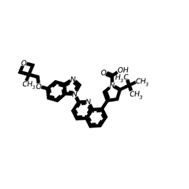 CC1(COc2ccc3c(c2)ncn3-c2ccc3cccc(C4=CN(C(=O)O)C(C(C)(C)C)C4)c3n2)COC1